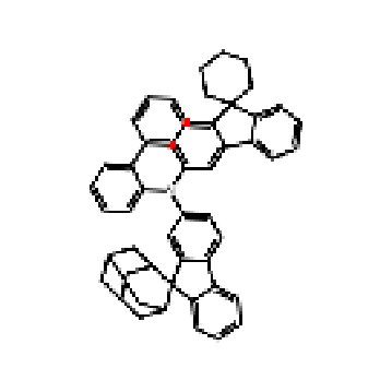 c1ccc(-c2ccccc2N(c2ccc3c(c2)-c2ccccc2C32CCCCC2)c2ccc3c(c2)C2(c4ccccc4-3)C3CC4CC(C3)CC2C4)cc1